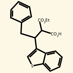 CCOC(=O)C(C(=O)O)C(Cc1ccccc1)c1csc2ccccc12